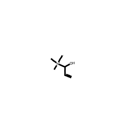 [CH2][N+](C)(C)C(O)C=C